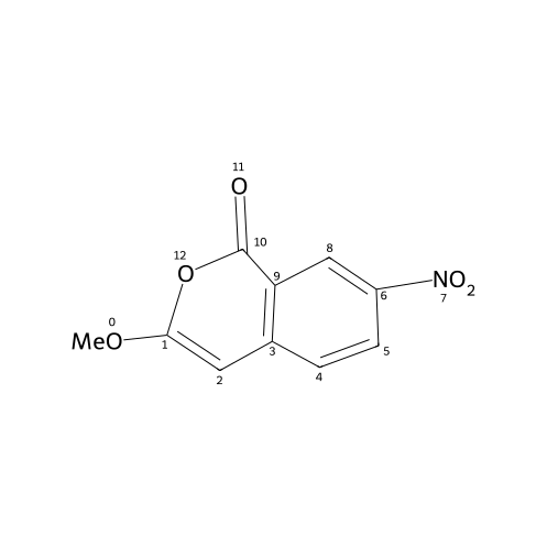 COc1cc2ccc([N+](=O)[O-])cc2c(=O)o1